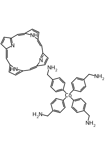 C1=Cc2cc3ccc(cc4nc(cc5ccc(cc1n2)[nH]5)C=C4)[nH]3.NCc1cc[c]([Co]([c]2ccc(CN)cc2)([c]2ccc(CN)cc2)[c]2ccc(CN)cc2)cc1